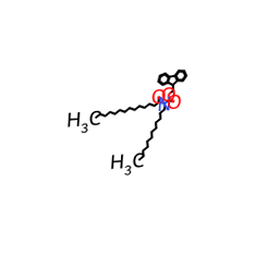 CCCCCCCCCCCCCC(=O)N(CCCCCCCCCCCC)C(=O)OCC1c2ccccc2-c2ccccc21